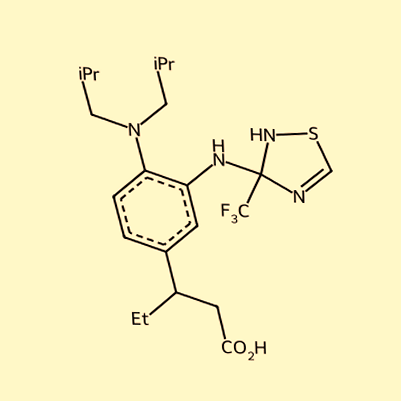 CCC(CC(=O)O)c1ccc(N(CC(C)C)CC(C)C)c(NC2(C(F)(F)F)N=CSN2)c1